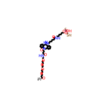 CC(C)C(=O)CCOCCOCCOCCOCCNC(=O)CCC(=O)N1Cc2ccccc2-c2c(nnn2CCCCCC(=O)NCCCCCCOP(O)(=S)OCS)-c2ccccc21